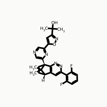 CC(C)(O)c1cc(-c2cncc([C@@]34CC[C@@H](c5cc(-c6c(F)cccc6F)nnc53)C4(C)C)n2)on1